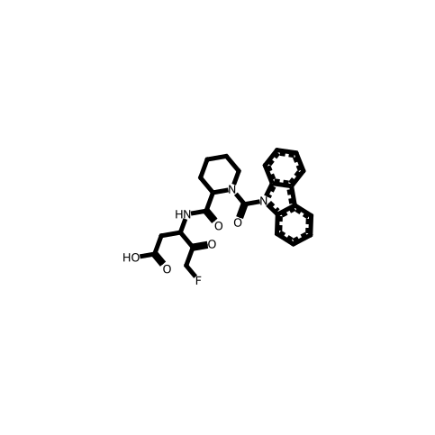 O=C(O)CC(NC(=O)C1CCCCN1C(=O)n1c2ccccc2c2ccccc21)C(=O)CF